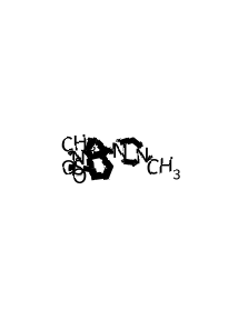 CCN1CCCN(c2ccc3c4c(cccc24)S(=O)(=O)N3CC)CC1